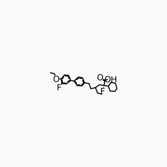 CCOc1ccc(-c2ccc(CCC(CC)C[C@@](F)(C(=O)O)C3CCCCC3)cc2)cc1F